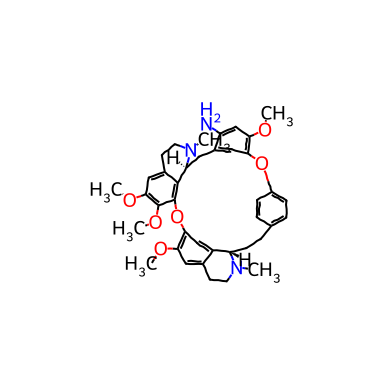 COc1cc(N)c2cc1Oc1ccc(cc1)CC[C@H]1c3cc(c(OC)cc3CCN1C)Oc1c(OC)c(OC)cc3c1[C@H](C2)N(C)CC3